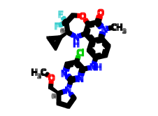 COC[C@@H]1CCCN1c1ncc(Cl)c(Nc2ccc3c(c2)c2c(c(=O)n3C)OCC(F)(F)[C@H](C3CC3)N2)n1